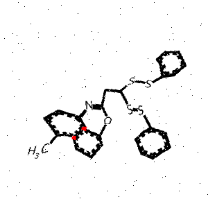 Cc1ccc(/N=C(/CC(SSc2ccccc2)SSc2ccccc2)Oc2ccccc2)cc1